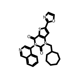 O=c1c2sc(-c3ncco3)cc2n(CC2CCCCCC2)c(=O)n1-c1cncc2ccccc12